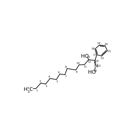 CCCCCCCCCCCCC(O)C(=NO)c1ccccc1